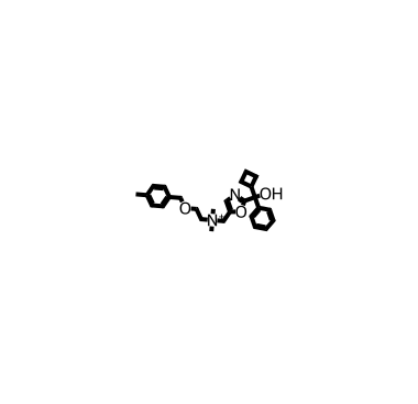 Cc1ccc(COCC[N+](C)(C)Cc2cnc(C(O)(c3ccccc3)C3CCC3)o2)cc1